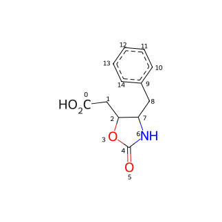 O=C(O)CC1OC(=O)NC1Cc1ccccc1